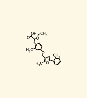 CCOC(Cc1ccc(OCc2nc(-c3ccccc3C)oc2C)cc1C)C(=O)O